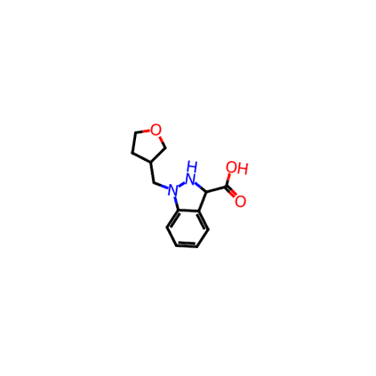 O=C(O)C1NN(CC2CCOC2)c2ccccc21